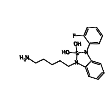 NCCCCCN1c2ccccc2N(c2ccccc2F)S1(O)O